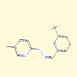 FC(F)(F)c1cccc(/C=N\Nc2ccc(I)cn2)c1